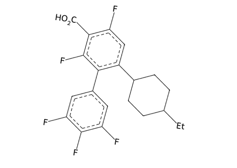 CCC1CCC(c2cc(F)c(C(=O)O)c(F)c2-c2cc(F)c(F)c(F)c2)CC1